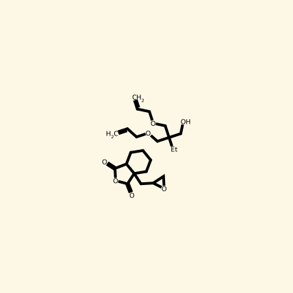 C=CCOCC(CC)(CO)COCC=C.O=C1OC(=O)C2(CC3CO3)CCCCC12